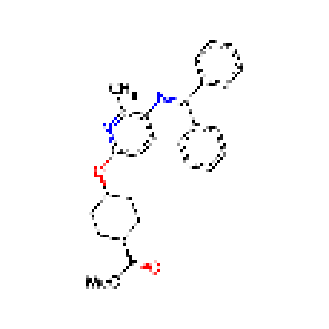 COC(=O)[C@H]1CC[C@@H](Oc2ccc(N=C(c3ccccc3)c3ccccc3)c(C)n2)CC1